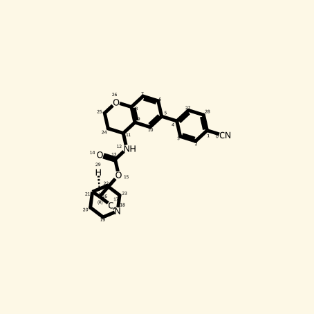 N#Cc1ccc(-c2ccc3c(c2)C(NC(=O)O[C@H]2CN4CCC2CC4)CCO3)cc1